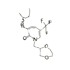 CC[SH](C)Cc1cc(C(F)(F)F)cn(CC2COCCO2)c1=O